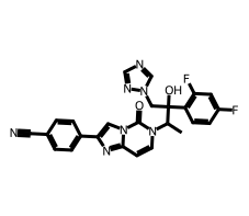 CC(n1ccc2nc(-c3ccc(C#N)cc3)cn2c1=O)C(O)(Cn1cncn1)c1ccc(F)cc1F